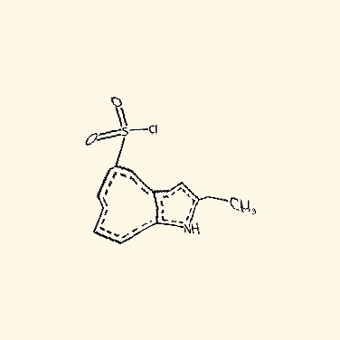 Cc1cc2c(S(=O)(=O)Cl)cccc2[nH]1